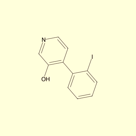 Oc1cnccc1-c1ccccc1I